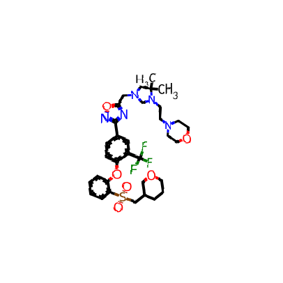 CC1(C)CN(Cc2nc(-c3ccc(Oc4ccccc4S(=O)(=O)CC4CCCOC4)c(C(F)(F)F)c3)no2)CN1CCN1CCOCC1